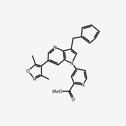 COC(=O)c1cc(-n2cc(Cc3ccccc3)c3ncc(-c4c(C)noc4C)cc32)ccn1